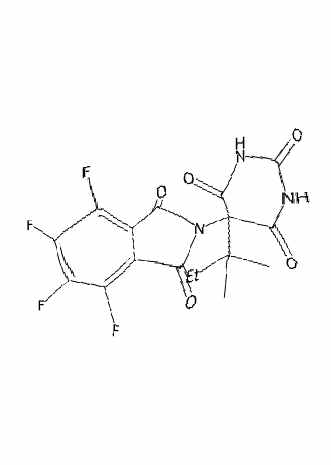 CCC(C)(C)C1(N2C(=O)c3c(F)c(F)c(F)c(F)c3C2=O)C(=O)NC(=O)NC1=O